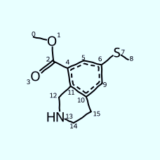 COC(=O)c1cc(SC)cc2c1CNCC2